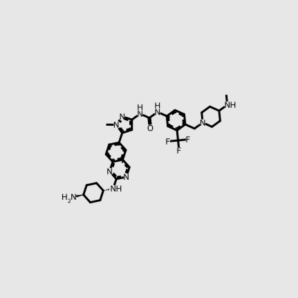 CNC1CCN(Cc2ccc(NC(=O)Nc3cc(-c4ccc5nc(N[C@H]6CC[C@H](N)CC6)ncc5c4)n(C)n3)cc2C(F)(F)F)CC1